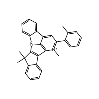 Cc1ccccc1-c1cc2c3ccccc3n3c4c(c(c23)[n+]1C)-c1ccccc1C4(C)C